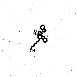 C#CCCCCCCc1cc[c]([Zr]([CH3])([CH3])([CH3])[CH]2C=Cc3ccccc32)c2c1-c1ccccc1C2